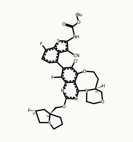 CC(C)(C)OC(=O)Nc1sc2c(F)ccc(-c3c(Cl)c4c5c(nc(OC[C@@]67CCCN6C[C@H](F)C7)nc5c3F)N3CCOC[C@@H]3CCO4)c2c1C#N